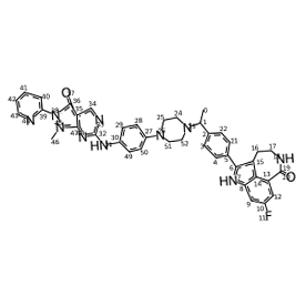 CC(c1ccc(-c2[nH]c3cc(F)cc4c3c2CCNC4=O)cc1)N1CCN(c2ccc(Nc3ncc4c(=O)n(-c5ccccn5)n(C)c4n3)cc2)CC1